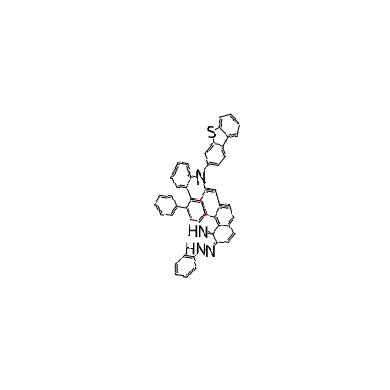 N=C1/C(=N\Nc2ccccc2)C=Cc2ccc3cc(N(c4ccc5c(c4)sc4ccccc45)c4ccccc4-c4ccccc4-c4ccccc4)ccc3c21